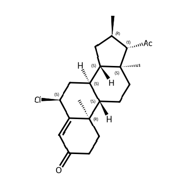 CC(=O)[C@H]1[C@H](C)C[C@H]2[C@@H]3C[C@H](Cl)C4=CC(=O)CC[C@]4(C)[C@H]3CC[C@@]21C